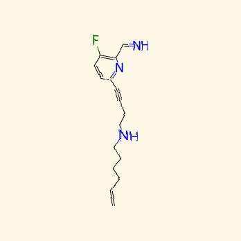 C=CCCCCNCCC#Cc1ccc(F)c(C=N)n1